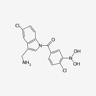 NCc1cn(C(=O)c2ccc(Cl)c(N(O)O)c2)c2ccc(Cl)cc12